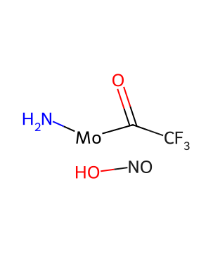 O=NO.[NH2][Mo][C](=O)C(F)(F)F